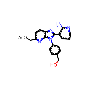 CC(=O)OCc1ccc2nc(-c3cccnc3N)n(-c3ccc(CO)cc3)c2n1